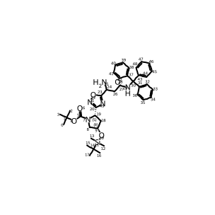 CC(C)(C)OC(=O)N1C[C@H](O[Si](C)(C)C(C)(C)C)C[C@H]1c1noc(C(N)CC(=O)NC(c2ccccc2)(c2ccccc2)c2ccccc2)n1